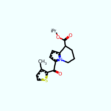 Cc1ccsc1C(=O)c1ccc2n1CCCC2C(=O)OC(C)C